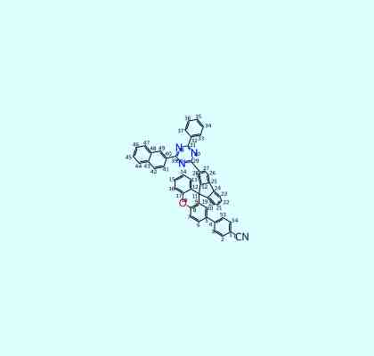 N#Cc1ccc(-c2ccc3c(c2)C2(c4ccccc4O3)c3ccccc3-c3ccc(-c4nc(-c5ccccc5)nc(-c5ccc6ccccc6c5)n4)cc32)cc1